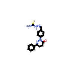 NC(=S)N/N=C\c1ccc(N2N=C(c3ccccc3)CCC2=O)cc1